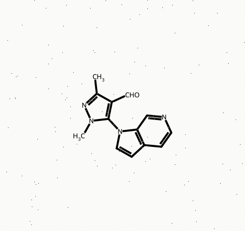 Cc1nn(C)c(-n2ccc3ccncc32)c1C=O